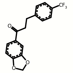 O=C(CCc1ccc(C(F)(F)F)cc1)c1ccc2c(c1)OCO2